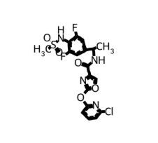 CC(NC(=O)c1coc(Oc2cccc(Cl)n2)n1)c1cc(F)c(NS(C)(=O)=O)c(F)c1